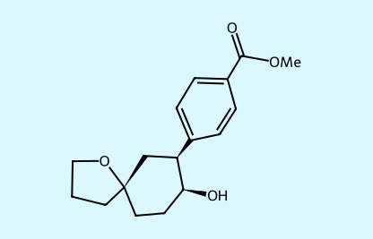 COC(=O)c1ccc([C@@H]2C[C@]3(CCCO3)CC[C@@H]2O)cc1